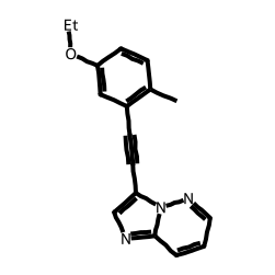 CCOc1ccc(C)c(C#Cc2cnc3cccnn23)c1